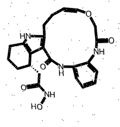 O=C(C[C@@H]1CCCc2[nH]c3c(c21)C(=O)Nc1ccccc1NC(=O)COC=CCC3)NO